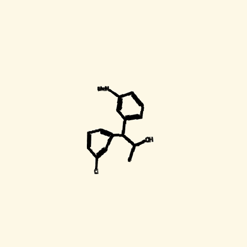 CNc1cccc(C(c2cccc(Cl)c2)C(C)O)c1